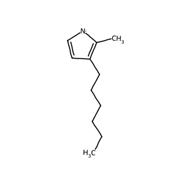 CCCCCCC1=C(C)[N]C=C1